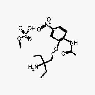 CCC(N)(CC)CCOc1cc([N+](=O)[O-])ccc1NC(C)=O.COS(=O)(=O)O